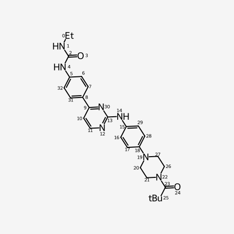 CCNC(=O)Nc1ccc(-c2ccnc(Nc3ccc(N4CCN(C(=O)C(C)(C)C)CC4)cc3)n2)cc1